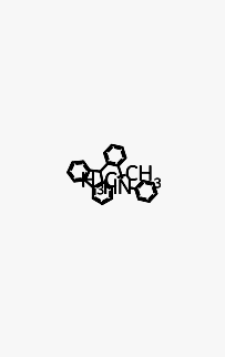 CC(C)(Nc1ccccc1)c1ccccc1C1c2ccccc2-c2ccccc21